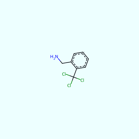 NCc1c[c]ccc1C(Cl)(Cl)Cl